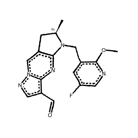 COc1ncc(F)cc1CN1c2nc3c(C=O)cnn3cc2C[C@H]1C